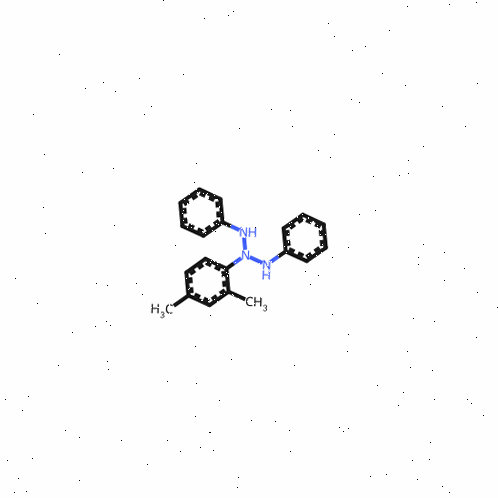 Cc1ccc(N(Nc2ccccc2)Nc2ccccc2)c(C)c1